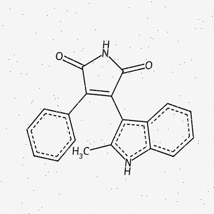 Cc1[nH]c2ccccc2c1C1=C(c2ccccc2)C(=O)NC1=O